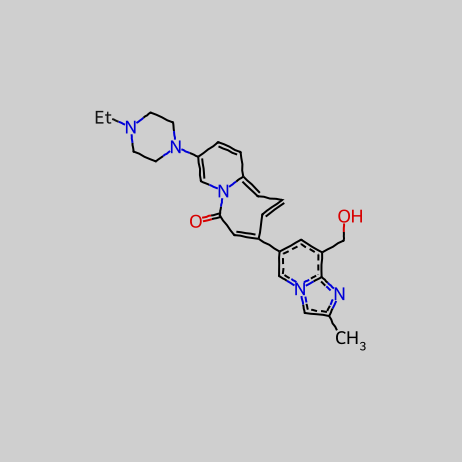 CCN1CCN(C2=CN3C(=O)\C=C(c4cc(CO)c5nc(C)cn5c4)/C=C/C=C/3C=C2)CC1